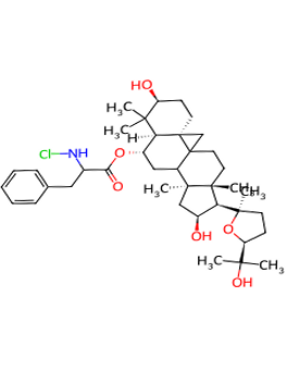 CC(C)(O)[C@@H]1CC[C@](C)([C@H]2[C@@H](O)C[C@@]3(C)C4C[C@H](OC(=O)C(Cc5ccccc5)NCl)[C@H]5C(C)(C)[C@@H](O)CC[C@@]56CC46CC[C@]23C)O1